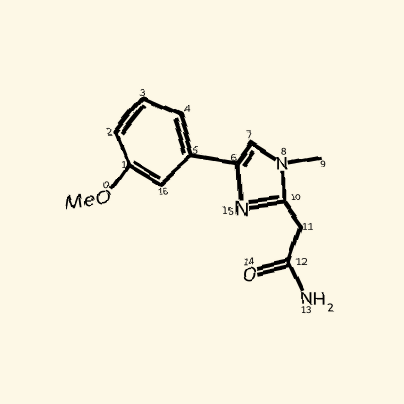 COc1cccc(-c2cn(C)c(CC(N)=O)n2)c1